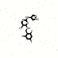 Fc1cc(F)c(CNc2nc(Nc3cn[nH]c3)ncc2Cl)c(F)c1